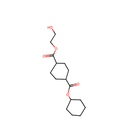 O=C(OCCO)C1CCC(C(=O)OC2CCCCC2)CC1